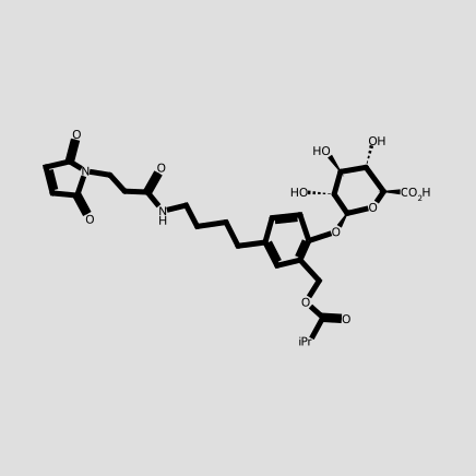 CC(C)C(=O)OCc1cc(CCCCNC(=O)CCN2C(=O)C=CC2=O)ccc1O[C@@H]1O[C@H](C(=O)O)[C@@H](O)[C@H](O)[C@H]1O